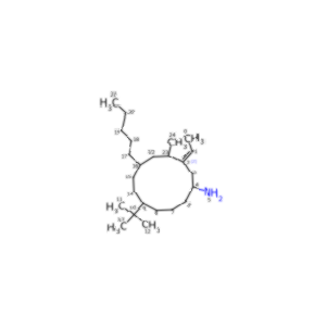 C/C=C1/CC(N)CCCC(C(C)(C)C)CCC(CCCCC)CC1C